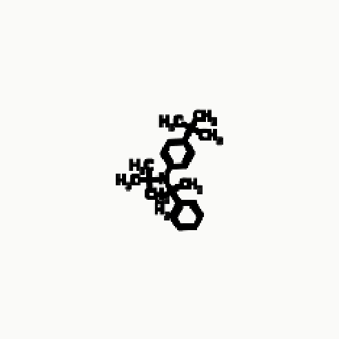 CC(C)(C)c1ccc(N(C(C)(C)C)C(C)(C)c2ccccc2)cc1